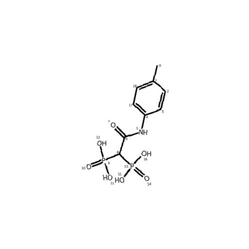 Cc1ccc(NC(=O)C(P(=O)(O)O)P(=O)(O)O)cc1